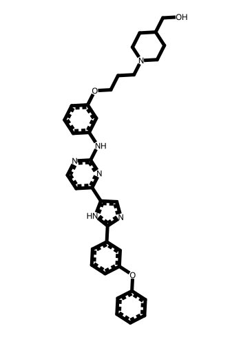 OCC1CCN(CCCOc2cccc(Nc3nccc(-c4cnc(-c5cccc(Oc6ccccc6)c5)[nH]4)n3)c2)CC1